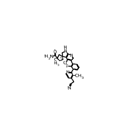 Cc1c(CC#N)ccnc1-c1cccc(-c2cnc3c(c2Cl)[C@@]2(CC[C@](C)(C(N)=O)C2)CN3)c1F